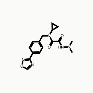 CN(C)NC(=O)C(=O)N(Cc1ccc(-c2ncon2)cc1)C1CC1